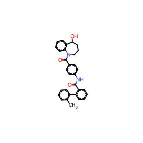 Cc1ccccc1-c1ccccc1C(=O)Nc1ccc(C(=O)N2CCCC(O)c3ccccc32)cc1